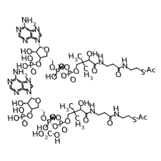 CC(=O)SCCNC(=O)CCNC(=O)C(O)C(C)(C)COP(=O)(O)OP(=O)(O)OC[C@H]1O[C@@H](n2cnc3c(N)ncnc32)[C@H](O)[C@@H]1OP(=O)(O)O.CC(=O)SCCNC(=O)CCNC(=O)C(O)C(C)(C)COP(=O)(O)OP(=O)(O)OC[C@H]1O[C@@H](n2cnc3c(N)ncnc32)[C@H](O)[C@@H]1OP(=O)(O)O.O=C(O)O